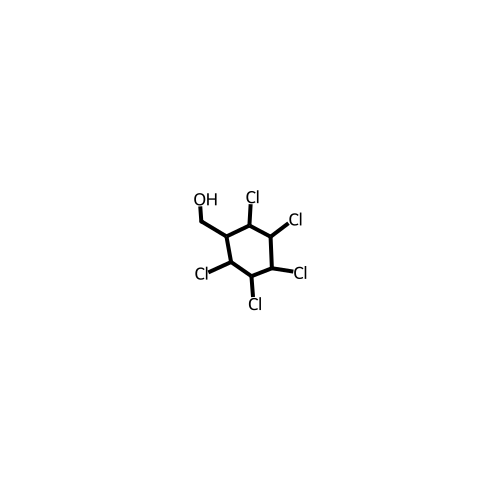 OCC1C(Cl)C(Cl)C(Cl)C(Cl)C1Cl